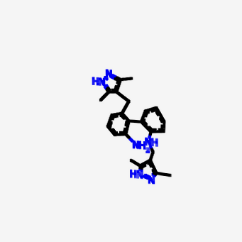 Cc1n[nH]c(C)c1CNc1ccccc1-c1c(N)cccc1Cc1c(C)n[nH]c1C